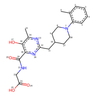 Cc1ccccc1N1CCC(Cc2nc(C)c(O)c(C(=O)NCC(=O)O)n2)CC1